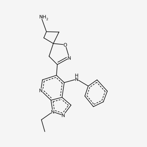 CCn1ncc2c(Nc3ccccc3)c(C3=NOC4(C3)CC(N)C4)cnc21